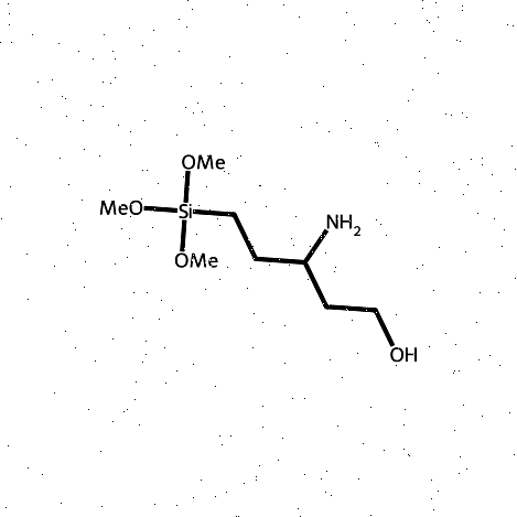 CO[Si](CCC(N)CCO)(OC)OC